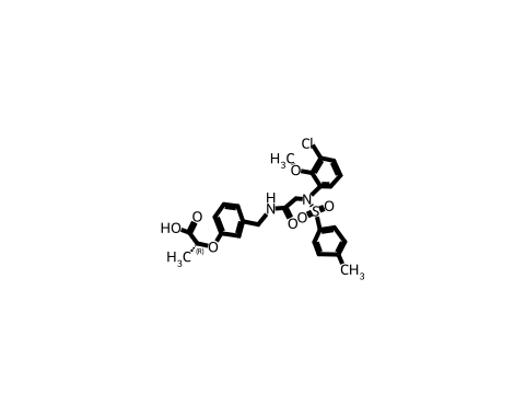 COc1c(Cl)cccc1N(CC(=O)NCc1cccc(O[C@H](C)C(=O)O)c1)S(=O)(=O)c1ccc(C)cc1